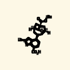 CCn1cc2c(N3C[C@H]4CC5[C@@H](C3)C[C@@]5(C(=O)OC(C)(C)C)C4)ccc(C(=O)O)c2n1